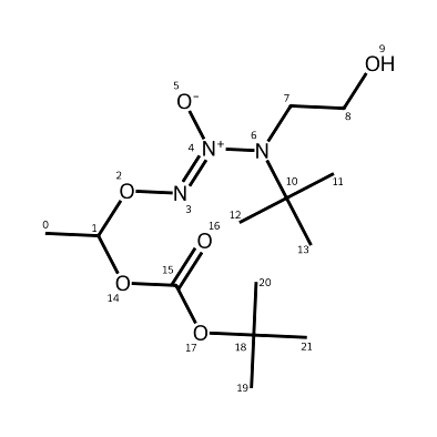 CC(ON=[N+]([O-])N(CCO)C(C)(C)C)OC(=O)OC(C)(C)C